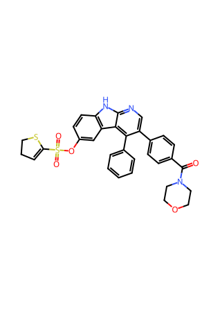 O=C(c1ccc(-c2cnc3[nH]c4ccc(OS(=O)(=O)C5=CCCS5)cc4c3c2-c2ccccc2)cc1)N1CCOCC1